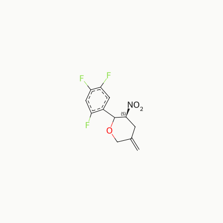 C=C1COC(c2cc(F)c(F)cc2F)[C@@H]([N+](=O)[O-])C1